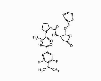 C[C@H](NC(=O)c1cc(F)c(N(C)C)c(F)c1)C(=O)N1CCC[C@H]1C(=O)NC1CC(=O)OC1OCc1ccccc1